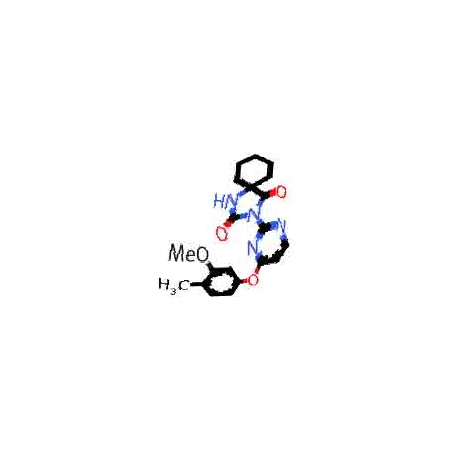 COc1cc(Oc2ccnc(N3C(=O)NC4(CCCCC4)C3=O)n2)ccc1C